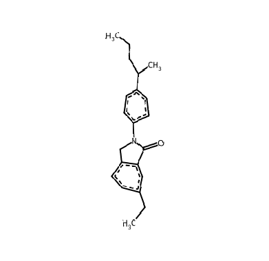 CCCC(C)c1ccc(N2Cc3ccc(CC)cc3C2=O)cc1